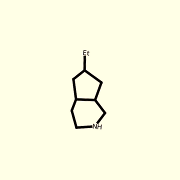 CCC1CC2CCNCC2C1